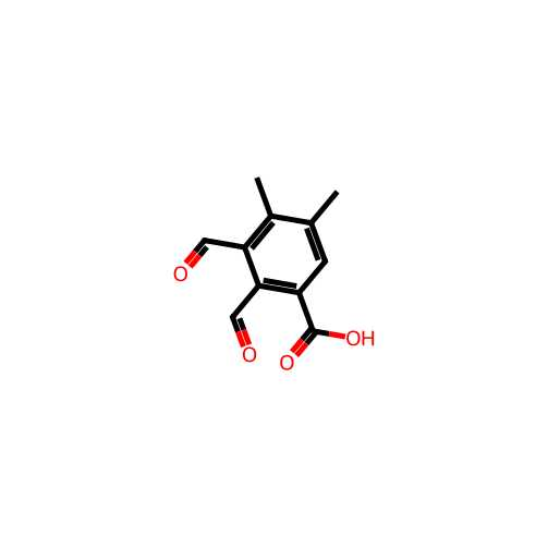 Cc1cc(C(=O)O)c(C=O)c(C=O)c1C